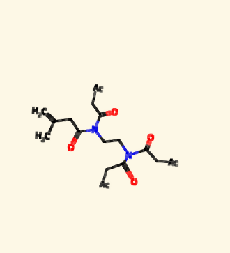 C=C(C)CC(=O)N(CCN(C(=O)CC(C)=O)C(=O)CC(C)=O)C(=O)CC(C)=O